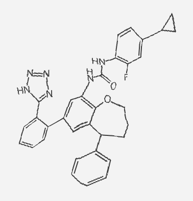 O=C(Nc1ccc(C2CC2)cc1F)Nc1cc(-c2ccccc2-c2nnn[nH]2)cc2c1OCCCC2c1ccccc1